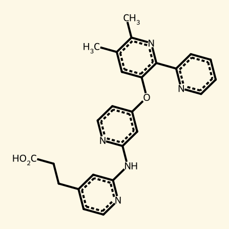 Cc1cc(Oc2ccnc(Nc3cc(CCC(=O)O)ccn3)c2)c(-c2ccccn2)nc1C